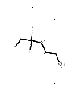 CCC(F)(F)OCCO